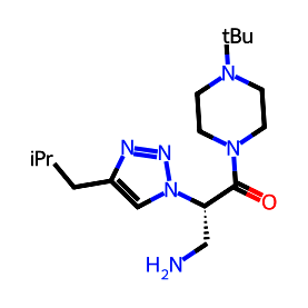 CC(C)Cc1cn([C@@H](CN)C(=O)N2CCN(C(C)(C)C)CC2)nn1